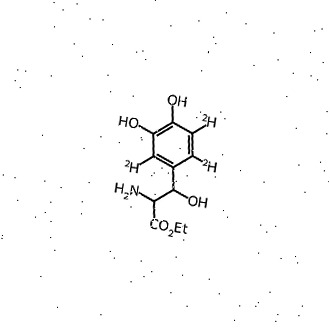 [2H]c1c([2H])c(C(O)C(N)C(=O)OCC)c([2H])c(O)c1O